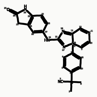 CC(C)(C#N)c1ccc([N+]23C=CN=CC2=NC(Nc2ccc4c(c2)CC(=O)N4)=N3)cc1